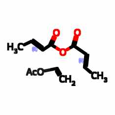 C/C=C/C(=O)OC(=O)/C=C/C.C=COC(C)=O